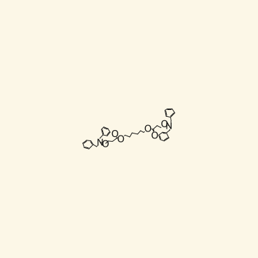 O=C(CCON(Cc1ccccc1)Cc1ccccc1)OCCCCCCOC(=O)CCON(Cc1ccccc1)Cc1ccccc1